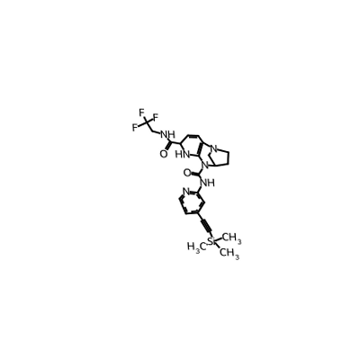 C[Si](C)(C)C#Cc1ccnc(NC(=O)N2C3=C(C=CC(C(=O)NCC(F)(F)F)N3)N3CCC2C3)c1